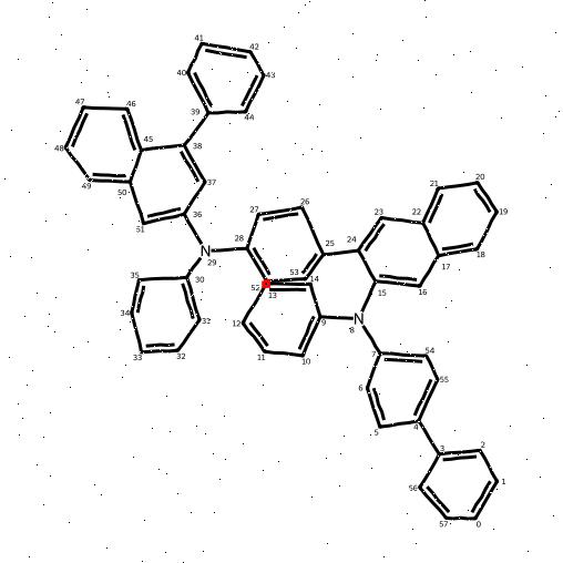 c1ccc(-c2ccc(N(c3ccccc3)c3cc4ccccc4cc3-c3ccc(N(c4ccccc4)c4cc(-c5ccccc5)c5ccccc5c4)cc3)cc2)cc1